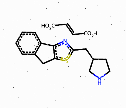 O=C(O)C=CC(=O)O.c1ccc2c(c1)Cc1sc(CC3CCNC3)nc1-2